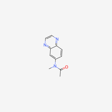 CC(=O)N(C)c1ccc2nccnc2c1